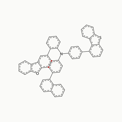 c1ccc(N(c2ccc(-c3cccc4ccccc34)cc2)c2ccc(-c3cccc4sc5ccccc5c34)cc2)c(-c2ccc3oc4ccccc4c3c2)c1